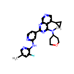 Cc1cnc(Nc2cc(-c3nc(N(C)C4CCOCC4)c4c(C5CC5)cncc4n3)ccn2)c(F)c1